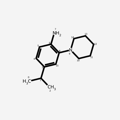 CC(C)c1ccc(N)c(N2CCCCC2)c1